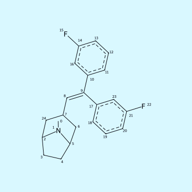 CN1C2CCC1CC(C=C(c1cccc(F)c1)c1cccc(F)c1)C2